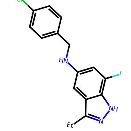 CCc1n[nH]c2c(F)cc(NCc3ccc(Cl)cc3)cc12